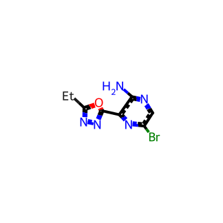 CCc1nnc(-c2nc(Br)cnc2N)o1